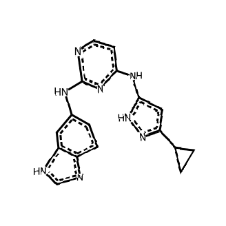 c1cc(Nc2cc(C3CC3)n[nH]2)nc(Nc2ccc3nc[nH]c3c2)n1